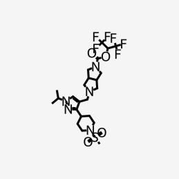 CC(C)n1cc(CN2CC3CN(C(=O)OC(C(F)(F)F)C(F)(F)F)CC3C2)c(C2CCN(S(C)(=O)=O)CC2)n1